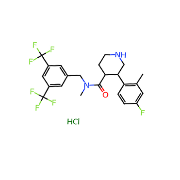 Cc1cc(F)ccc1C1CNCCC1C(=O)N(C)Cc1cc(C(F)(F)F)cc(C(F)(F)F)c1.Cl